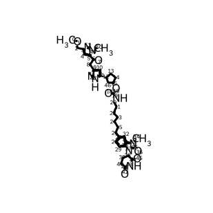 COCc1cc(C(=O)Cc2cc([C@H]3CC[C@@H](OC(=O)NCCCCCCCc4ccc5c(c4)n(C)c(=O)n5C4CCC(=O)NC4=O)C3)[nH]n2)n(C)n1